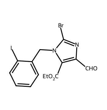 CCOC(=O)c1c(C=O)nc(Br)n1Cc1ccccc1I